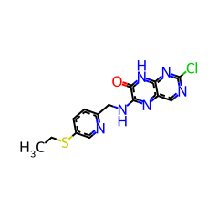 CCSc1ccc(CNc2nc3cnc(Cl)nc3[nH]c2=O)nc1